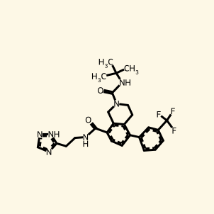 CC(C)(C)NC(=O)N1CCc2c(-c3cccc(C(F)(F)F)c3)ccc(C(=O)NCCc3ncn[nH]3)c2C1